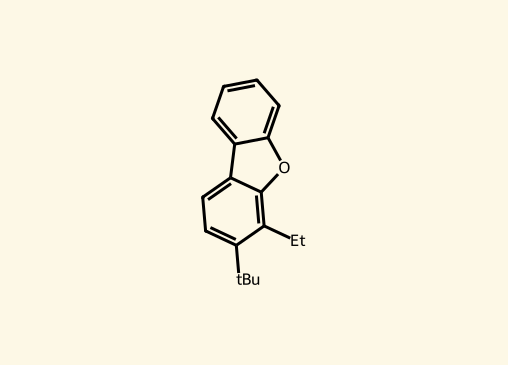 CCc1c(C(C)(C)C)ccc2c1oc1ccccc12